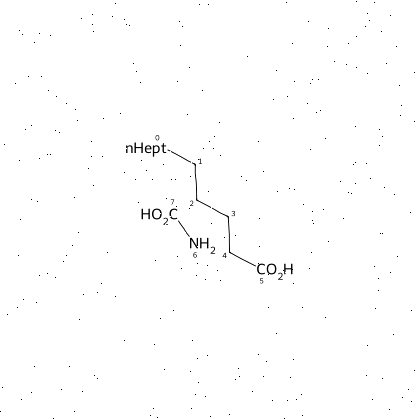 CCCCCCCCCCCC(=O)O.NC(=O)O